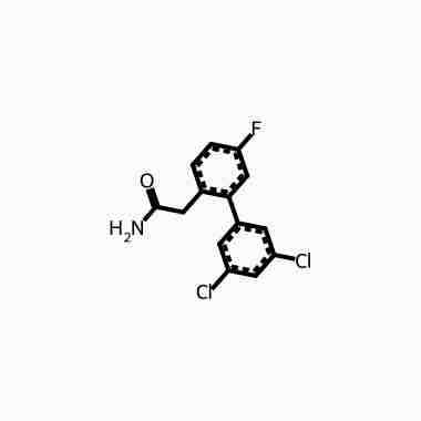 NC(=O)Cc1ccc(F)cc1-c1cc(Cl)cc(Cl)c1